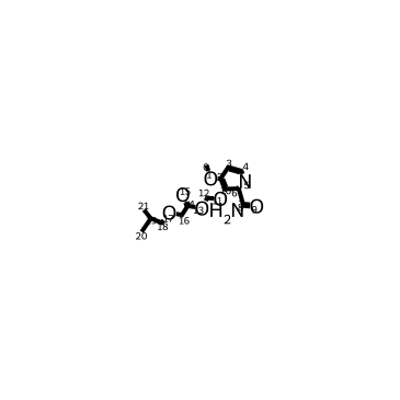 COc1ccnc(C(N)=O)c1OCOC(=O)COCC(C)C